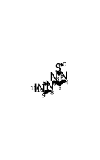 CSc1nccc(N2C=CN(I)C2)n1